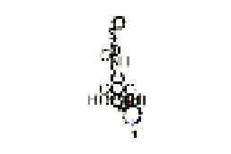 C#C/C1=C/C#C[C@@H]2Nc3c(cc(O)c4c3C(=O)c3ccc(CNC(=O)OCCSc5ccccc5)cc3C4=O)[C@@]3(CC1)O[C@@]23[C@@H](C)O